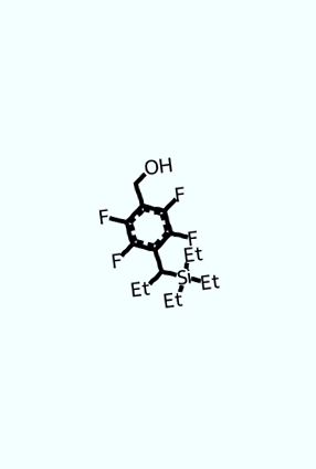 CCC(c1c(F)c(F)c(CO)c(F)c1F)[Si](CC)(CC)CC